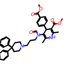 COC(=O)C1=C(C)NC(C)=C(N(C=O)CCCN2CCC(c3ccccc3)(c3ccccc3)CC2)C1c1ccc(C(=O)OC)cc1